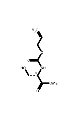 C=CCOC(=O)N[C@@H](CO)C(=O)OC